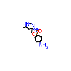 CC1=CC(C)(NS(=O)(=O)c2ccc(N)cc2)N=CN1